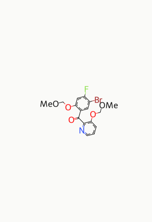 COCOc1cc(F)c(Br)cc1C(=O)c1ncccc1OCOC